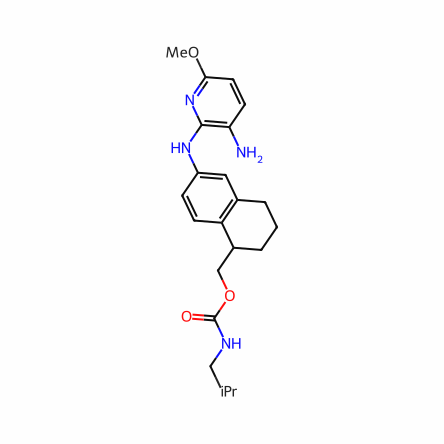 COc1ccc(N)c(Nc2ccc3c(c2)CCCC3COC(=O)NCC(C)C)n1